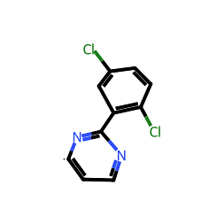 Clc1ccc(Cl)c(-c2n[c]ccn2)c1